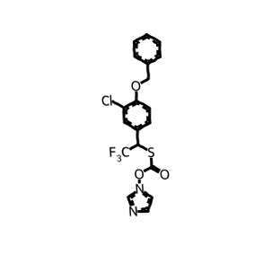 O=C(On1ccnc1)SC(c1ccc(OCc2ccccc2)c(Cl)c1)C(F)(F)F